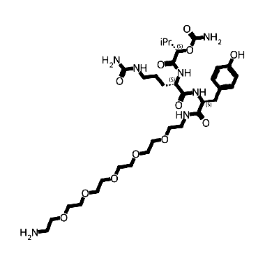 CC(C)[C@H](OC(N)=O)C(=O)N[C@@H](CCCNC(N)=O)C(=O)N[C@@H](Cc1ccc(O)cc1)C(=O)NCCOCCOCCOCCOCCOCCN